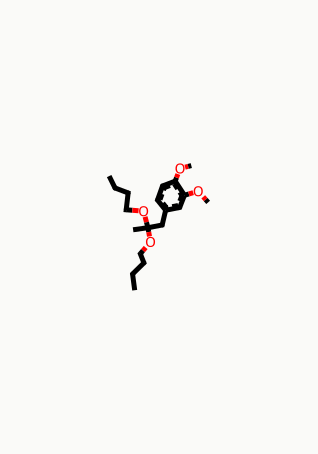 CCCCOC(C)(Cc1ccc(OC)c(OC)c1)OCCCC